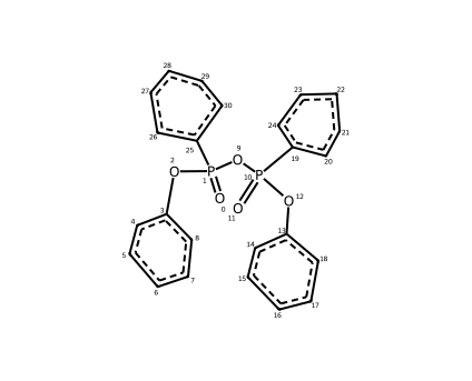 O=P(Oc1ccccc1)(OP(=O)(Oc1ccccc1)c1ccccc1)c1ccccc1